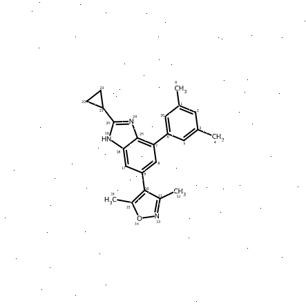 Cc1cc(C)cc(-c2cc(-c3c(C)noc3C)cc3[nH]c(C4CC4)nc23)c1